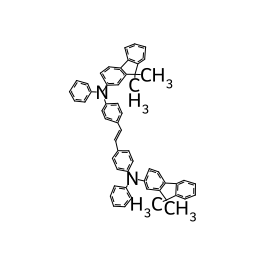 CC1(C)c2ccccc2-c2ccc(N(c3ccccc3)c3ccc(/C=C/c4ccc(N(c5ccccc5)c5ccc6c(c5)C(C)(C)c5ccccc5-6)cc4)cc3)cc21